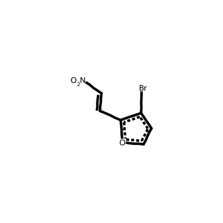 O=[N+]([O-])C=Cc1occc1Br